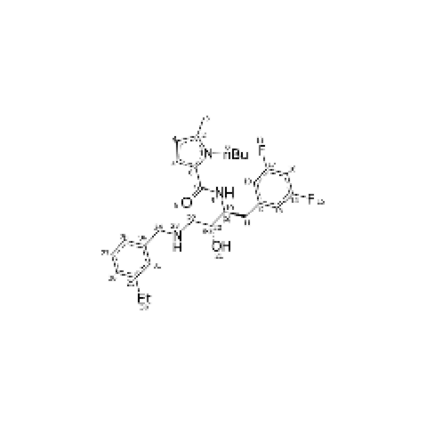 CCCCn1c(C)ccc1C(=O)N[C@@H](Cc1cc(F)cc(F)c1)[C@H](O)CNCc1cccc(CC)c1